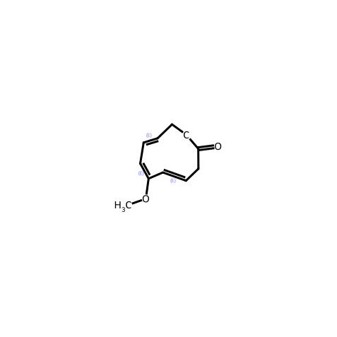 COC1=C/C=C/CCC(=O)C\C=C\1